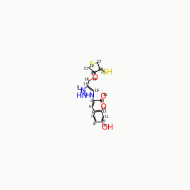 CN1NN(c2cc3ccc(O)cc3oc2=O)C=C1CO[C@@H]1CSC[C@@H]1S